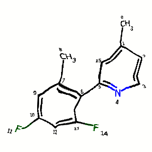 Cc1ccnc(-c2c(C)cc(F)cc2F)c1